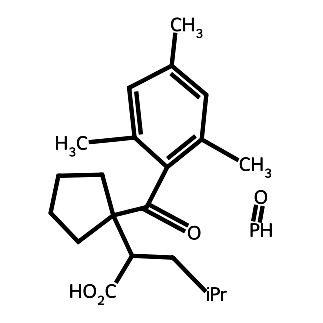 Cc1cc(C)c(C(=O)C2(C(CC(C)C)C(=O)O)CCCC2)c(C)c1.O=P